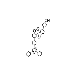 N#Cc1ccc(-c2ccc3c(c2)C2(c4ccccc4Oc4ccc(-c5ccc(-c6cc(-c7ccccc7)nc(-c7ccccc7)n6)cc5)cc42)c2ccccc2-3)cc1